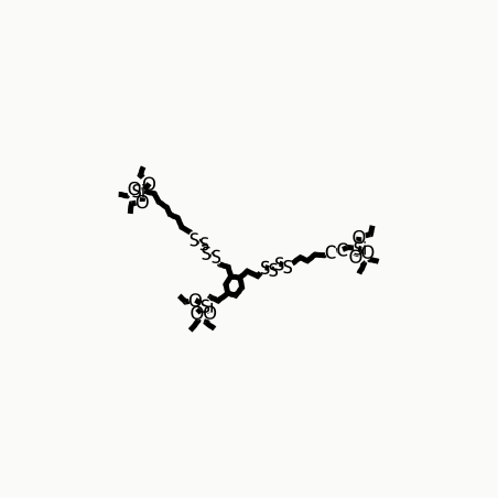 CCO[Si](CCCCCCCSSSSCCC1CCC(CC[Si](OCC)(OCC)OCC)CC1CCSSSSCCCCCCC[Si](OCC)(OCC)OCC)(OCC)OCC